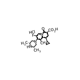 Cc1c(N2C[C@@H](C)N[C@@H](C)C2)c(F)cn2c(=O)c(C(=O)O)cc(C3CC3)c12.Cl